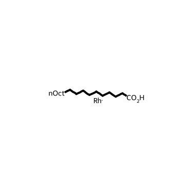 CCCCCCCCCCCCCCCCCC(=O)O.[Rh]